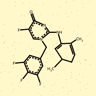 CC1=CCC(C)C=C1Nc1nc(=O)c(F)cn1Cc1cc(F)c(F)c(F)c1